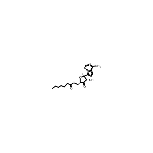 CCCCCCC(=O)OC[C@H]1O[C@@](C)(c2ccc3c(N)ncnn23)[C@H](O)C1=O